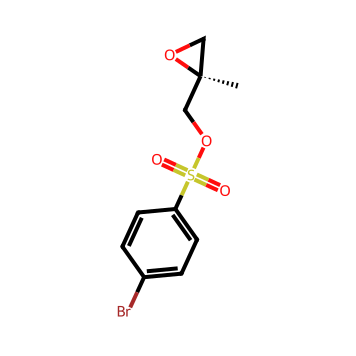 C[C@@]1(COS(=O)(=O)c2ccc(Br)cc2)CO1